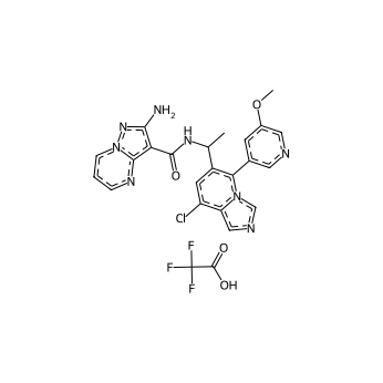 COc1cncc(-c2c(C(C)NC(=O)c3c(N)nn4cccnc34)cc(Cl)c3cncn23)c1.O=C(O)C(F)(F)F